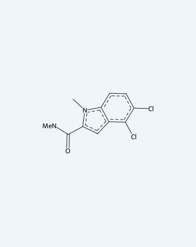 CNC(=O)c1cc2c(Cl)c(Cl)ccc2n1C